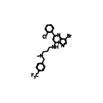 CN(CCCNc1cc(-c2ccccc2Cl)nc2c(Br)cnn12)Cc1ccc(C(F)(F)F)cc1